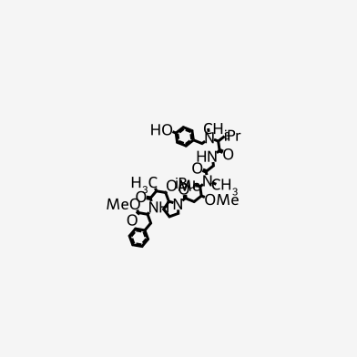 CCC(C)C(C(CC(=O)N1CCCC1C(OC)C(C)C(=O)NC(Cc1ccccc1)C(=O)OC)OC)N(C)C(=O)CNC(=O)C(C(C)C)N(C)Cc1ccc(O)cc1